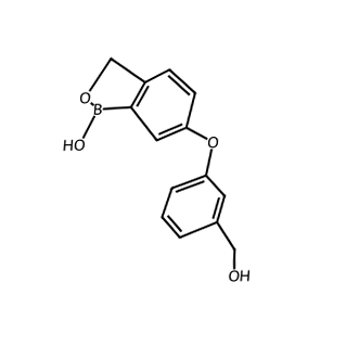 OCc1cccc(Oc2ccc3c(c2)B(O)OC3)c1